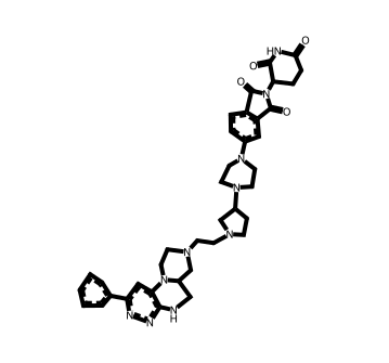 O=C1CCC(N2C(=O)c3ccc(N4CCN(C5CCN(CCN6CCN7c8cc(-c9ccccc9)nnc8NCC7C6)C5)CC4)cc3C2=O)C(=O)N1